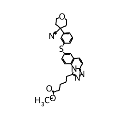 COC(=O)CCCCc1nnc2ccc3cc(Sc4cccc(C5(C#N)CCOCC5)c4)ccc3n12